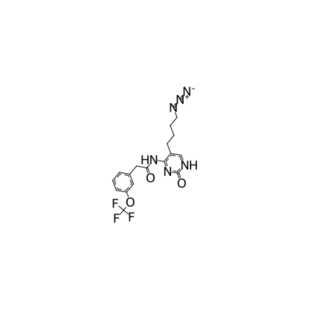 [N-]=[N+]=NCCCCc1c[nH]c(=O)nc1NC(=O)Cc1cccc(OC(F)(F)F)c1